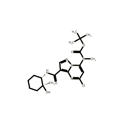 CN(C(=O)OC(C)(C)C)c1cc(Cl)nc2c(C(=O)N[C@H]3CCCC[C@]3(C)O)cnn12